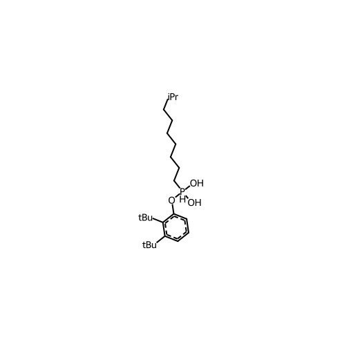 CC(C)CCCCCCC[PH](O)(O)Oc1cccc(C(C)(C)C)c1C(C)(C)C